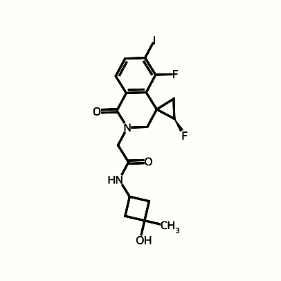 CC1(O)CC(NC(=O)CN2CC3(C[C@H]3F)c3c(ccc(I)c3F)C2=O)C1